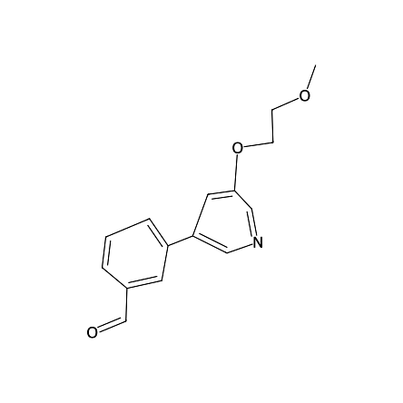 COCCOc1cncc(-c2cccc(C=O)c2)c1